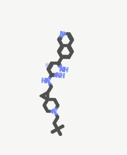 CC(C)(C)CCN1CCC2(CC1)CC2CNC(=N)/C=C\C(=N)c1ccc2ccncc2c1